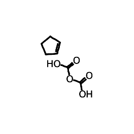 C1=CCCC1.O=C(O)OC(=O)O